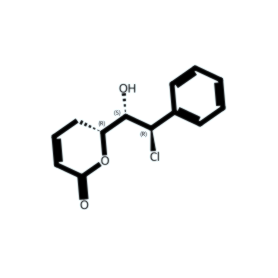 O=C1C=CC[C@H]([C@H](O)[C@H](Cl)c2ccccc2)O1